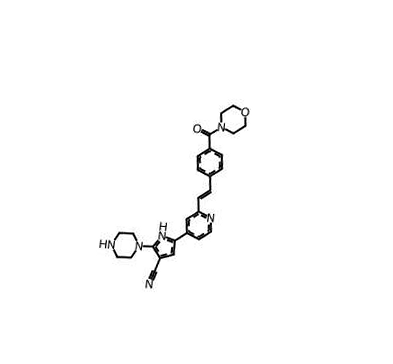 N#Cc1cc(-c2ccnc(/C=C/c3ccc(C(=O)N4CCOCC4)cc3)c2)[nH]c1N1CCNCC1